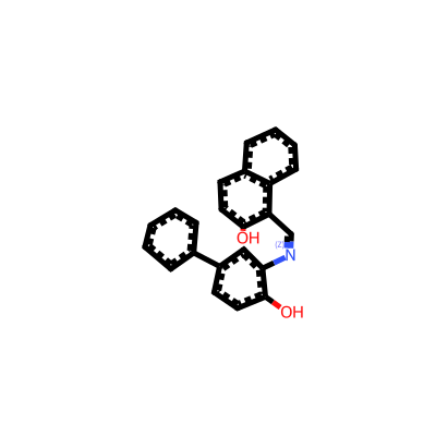 Oc1ccc(-c2ccccc2)cc1/N=C\c1c(O)ccc2ccccc12